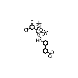 COC(=O)c1cccc(-c2cccc(NCCN(C[C@H](O[Si](C)(C)C(C)(C)C)c3cc(Cl)cc(Cl)c3)C(=O)OC(C)(C)C)c2)c1